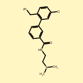 CC(C)Cc1ccc(Cl)cc1-c1cccc(C(=O)NCCN(C)C)c1